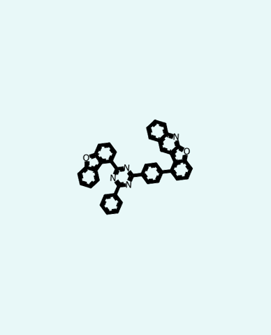 c1ccc(-c2nc(-c3ccc(-c4cccc5oc6nc7ccccc7cc6c45)cc3)nc(-c3cccc4oc5ccccc5c34)n2)cc1